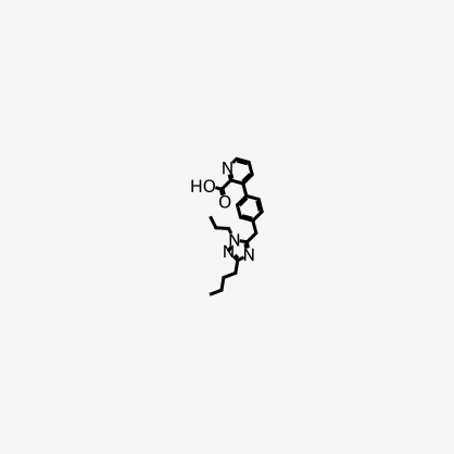 CCCCc1nc(Cc2ccc(-c3cccnc3C(=O)O)cc2)n(CCC)n1